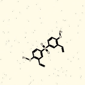 C=Cc1cc(S(=O)(=O)c2ccc(OC(C)C)c(C=C)c2)ccc1OC(C)C